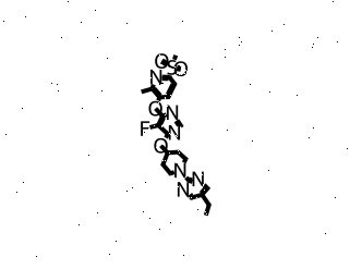 CCc1cnc(N2CCC(Oc3ncnc(Oc4ccc(S(C)(=O)=O)nc4C)c3F)CC2)nc1